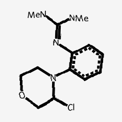 CNC(=Nc1ccccc1N1CCOCC1Cl)NC